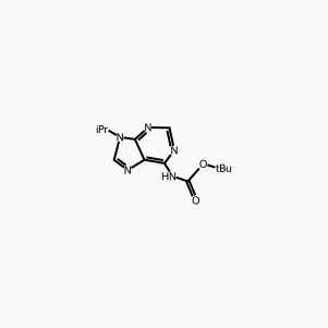 CC(C)n1cnc2c(NC(=O)OC(C)(C)C)ncnc21